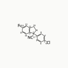 N#CC1(c2ccc(Cl)cc2)CCc2cc(F)ccc21